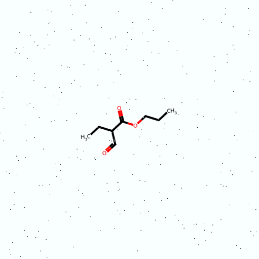 CCCOC(=O)C([C]=O)CC